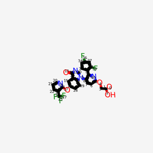 O=C(O)COc1ccc(-n2cnc(=O)c3cc(Oc4ncccc4C(F)(F)F)ccc32)c(-c2ccc(F)cc2F)n1